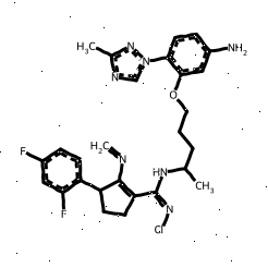 C=NC1=C(/C(=N\Cl)NC(C)CCCOc2cc(N)ccc2-n2cnc(C)n2)CCC1c1ccc(F)cc1F